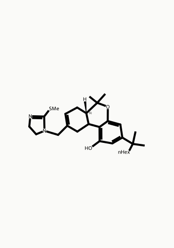 CCCCCCC(C)(C)c1cc(O)c2c(c1)OC(C)(C)[C@H]1CC=C(CN3CCN=C3SC)CC21